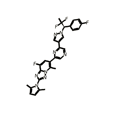 Cc1ccc(C)n1-c1nc2c(F)cc(-c3cncc(-c4cnn([C@H](c5ccc(F)cc5)C(C)(F)F)c4)n3)c(C)n2n1